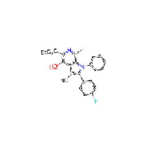 CCOC(=O)c1nc(C)c2c(c1O)c(C#N)c(-c1ccc(F)cc1)n2-c1ccccc1